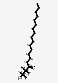 CCCCCCCCCCCCCCCC(=O)C(F)(F)C(F)(F)F